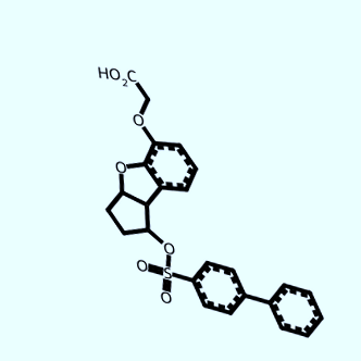 O=C(O)COc1cccc2c1OC1CCC(OS(=O)(=O)c3ccc(-c4ccccc4)cc3)C21